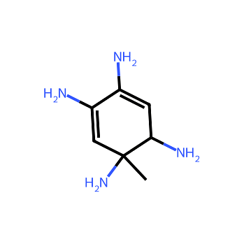 CC1(N)C=C(N)C(N)=CC1N